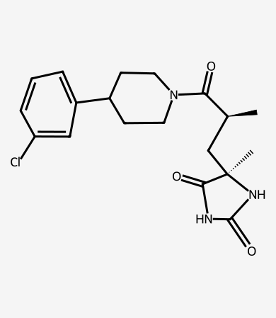 C[C@@H](C[C@@]1(C)NC(=O)NC1=O)C(=O)N1CCC(c2cccc(Cl)c2)CC1